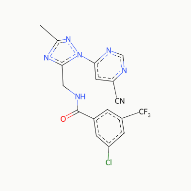 Cc1nc(CNC(=O)c2cc(Cl)cc(C(F)(F)F)c2)n(-c2cc(C#N)ncn2)n1